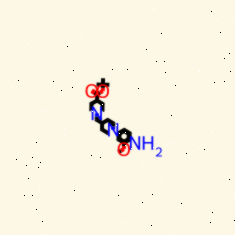 COc1cc(N2CCC(CN3CCC(C(=O)OC(C)(C)C)CC3)CC2)ccc1N